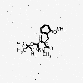 CNC(=O)[C@H](Cc1ccccc1OC)NC(=O)OC(C)(C)C